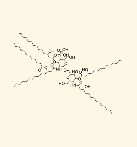 CCCCCCCCCCCC(=O)O[C@H](CCCCCCCCCCC)CC(=O)N[C@H]1C(OC(=O)C[C@H](O)CCCCCCCCCCC)[C@H](OP(=O)(O)O)C(CO)O[C@H]1OCC1OC(CO)[C@@H](NC(=O)C[C@H](O)CCCCCCCCCCC)C(OC(=O)C[C@H](O)CCCCCCCCCCC)[C@@H]1O